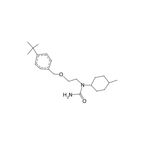 CC1CCC(N(CCOCc2ccc(C(C)(C)C)cc2)C(N)=O)CC1